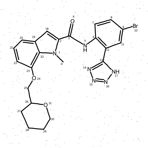 Cn1c(C(=O)Nc2ccc(Br)cc2-c2nnn[nH]2)cc2cccc(OCC3CCCCO3)c21